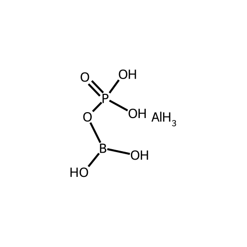 O=P(O)(O)OB(O)O.[AlH3]